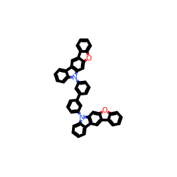 c1cc(-c2cccc(-n3c4ccccc4c4cc5c(cc43)oc3ccccc35)c2)cc(-n2c3ccccc3c3cc4c(cc32)oc2ccccc24)c1